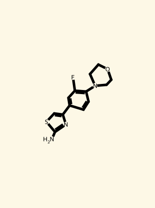 Nc1nc(-c2ccc(N3CCOCC3)c(F)c2)cs1